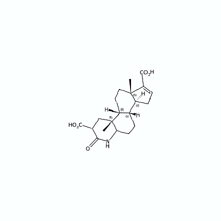 C[C@]12CC(C(=O)O)C(=O)NC1CC[C@@H]1[C@H]2CC[C@]2(C)C(C(=O)O)=CC[C@@H]12